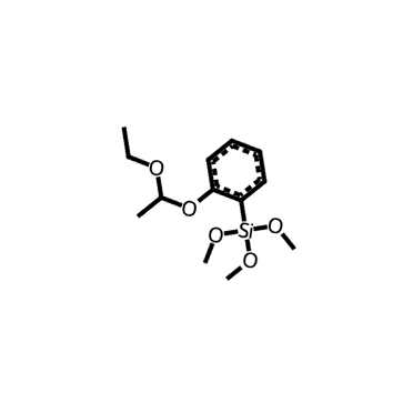 CCOC(C)Oc1ccccc1[Si](OC)(OC)OC